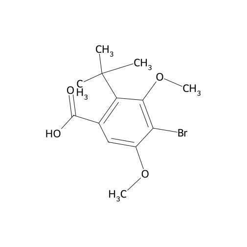 COc1cc(C(=O)O)c(C(C)(C)C)c(OC)c1Br